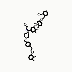 Cc1cccc(OCCc2ccc(CN3CCN(/C(=C/C=O)c4cc(C)c(Oc5ccc(OCc6ccccc6Cl)cn5)c(Cl)c4)CC3)cc2)c1C